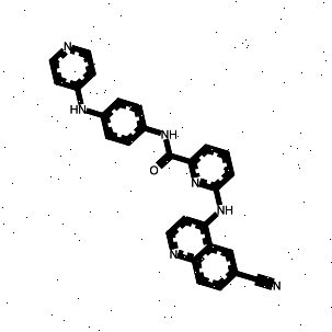 N#Cc1ccc2nccc(Nc3cccc(C(=O)Nc4ccc(Nc5ccncc5)cc4)n3)c2c1